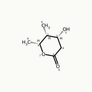 C[C@@H]1[C@H](O)CC(=O)O[C@@H]1C